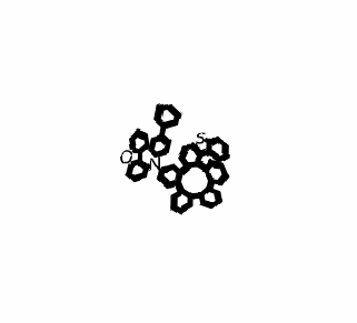 c1ccc(-c2ccc(N(c3ccc4c5ccccc5c5ccccc5c5ccccc5c5c(ccc6sc7ccccc7c65)c4c3)c3cccc4oc5ccccc5c34)cc2)cc1